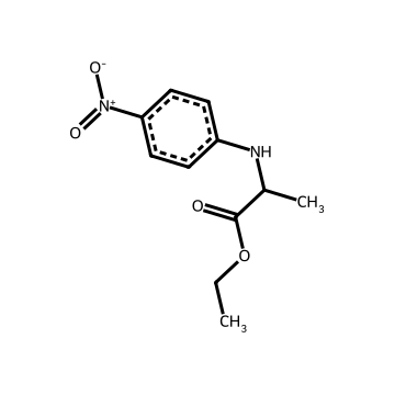 CCOC(=O)C(C)Nc1ccc([N+](=O)[O-])cc1